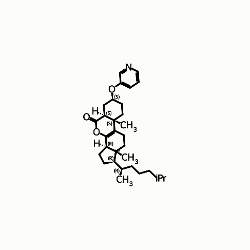 CC(C)CCC[C@@H](C)[C@H]1CC[C@H]2C3=C(CC[C@]12C)[C@@]1(C)CC[C@H](Oc2cccnc2)C[C@@H]1C(=O)O3